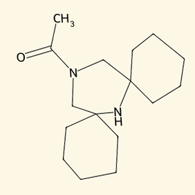 CC(=O)N1CC2(CCCCC2)NC2(CCCCC2)C1